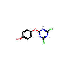 Oc1ccc(Oc2nc(Cl)nc(Cl)n2)cc1